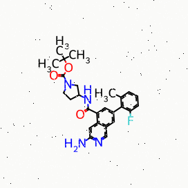 Cc1cccc(F)c1-c1cc(C(=O)NC2CCN(C(=O)OC(C)(C)C)C2)c2cc(N)ncc2c1